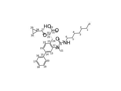 CCCCCCCNC(=O)N(C)c1cc(-c2ccccc2)ccc1C[C@H](OCC1CC1)C(=O)O